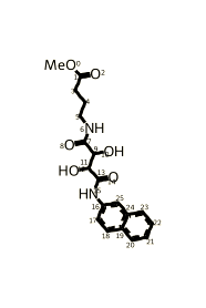 COC(=O)CCCNC(=O)C(O)C(O)C(=O)Nc1ccc2ccccc2c1